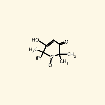 CC(C)C1(C)C(O)=CC(=O)C(C)(C)[S+]1[O-]